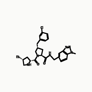 CC[C@H]1CN[C@@H](C(=O)N2C[C@H](Cc3cccc(Cl)c3)C[C@H]2C(=O)NCc2ccc3c(c2)nnn3C)C1